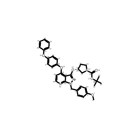 COc1ccc(Cn2nc(O[C@@H]3CCN(C(=O)OC(C)(C)C)C3)c3c(Oc4ccc(Oc5ccccc5)cc4)ccnc32)cc1